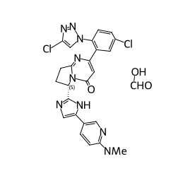 CNc1ccc(-c2cnc([C@@H]3CCc4nc(-c5cc(Cl)ccc5-n5cc(Cl)nn5)cc(=O)n43)[nH]2)cn1.O=CO